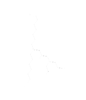 O=C(O)CCCCCCN(CCCCCCC(=O)O)CC(O)CN(CCO)CCO